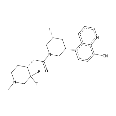 C[C@@H]1C[C@H](c2ccc(C#N)c3ncccc23)CN(C(=O)C[C@H]2CCN(C)CC2(F)F)C1